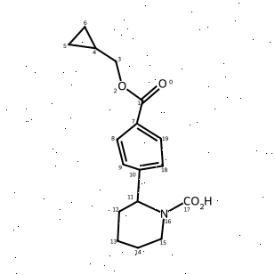 O=C(OCC1CC1)c1ccc(C2CCCCN2C(=O)O)cc1